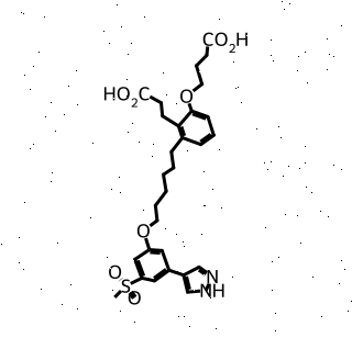 CS(=O)(=O)c1cc(OCCCCCCc2cccc(OCCCC(=O)O)c2CCC(=O)O)cc(-c2cn[nH]c2)c1